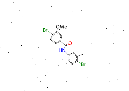 COc1cc(C(=O)Nc2ccc(Br)c(C)c2)ccc1Br